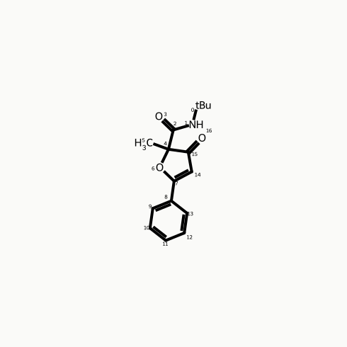 CC(C)(C)NC(=O)C1(C)OC(c2ccccc2)=CC1=O